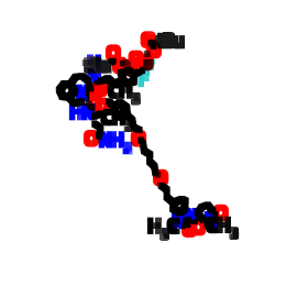 C/C(=C\C(=O)N[C@H]1CCc2cccc3c2N(C1=O)[C@H](C(=O)N[C@@H](CCC(N)=O)[C@@H](C)OCc1ccc(CCCOCCCCCCOCCCc2ccc4c(c2)n(C)c(=O)n4C2CCC(=O)N(C)C2=O)cc1)C3)c1ccc(C(F)(F)P(=O)(OCOC(=O)C(C)(C)C)OCOC(=O)C(C)(C)C)cc1